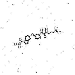 CCNC(=O)n1ccc2cc(Oc3ccnc(NC(=O)NCCCN(CC)CC)c3)ccc21